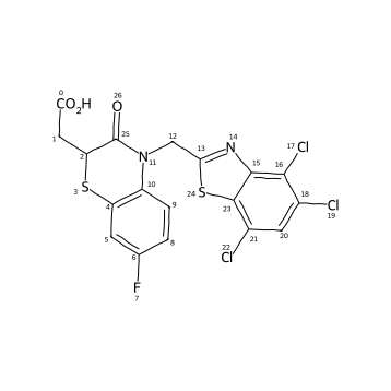 O=C(O)CC1Sc2cc(F)ccc2N(Cc2nc3c(Cl)c(Cl)cc(Cl)c3s2)C1=O